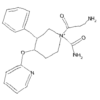 NCC(=O)[N+]1(C(N)=O)CCC(Oc2ccccn2)C(c2ccccc2)C1